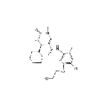 Cc1cc(Cl)c(OCCO)cc1NC(=O)C1=CN(C)C(=O)N[C@@H]1C1CCCCC1